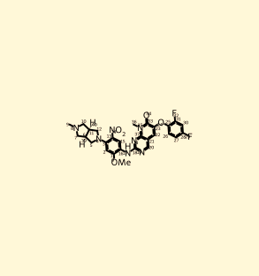 COc1cc(N2C[C@H]3CN(C)C[C@H]3C2)c([N+](=O)[O-])cc1Nc1ncc2cc(Oc3ccc(F)cc3F)c(=O)n(C)c2n1